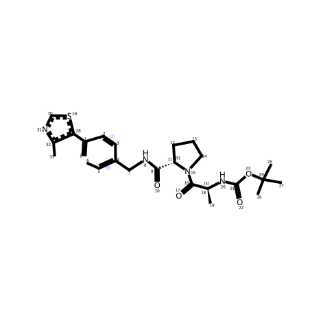 C=C(/C=C\C(=C/C)CNC(=O)[C@@H]1CCCN1C(=O)[C@H](C)NC(=O)OC(C)(C)C)c1scnc1C